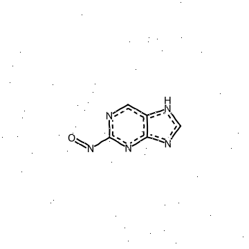 O=Nc1ncc2[nH]cnc2n1